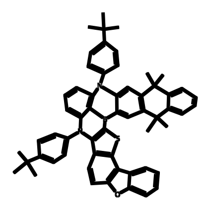 CC(C)(C)c1ccc(N2c3cc4c(cc3B3c5sc6c(ccc7oc8ccccc8c76)c5N(c5ccc(C(C)(C)C)cc5)c5cccc2c53)C(C)(C)c2ccccc2C4(C)C)cc1